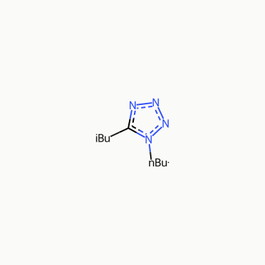 CCC[CH]n1nnnc1C(C)CC